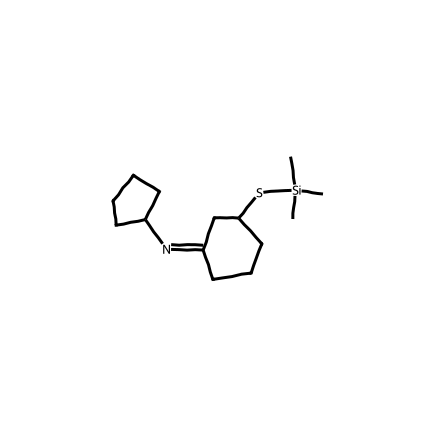 C[Si](C)(C)SC1CCCC(=NC2CCCC2)C1